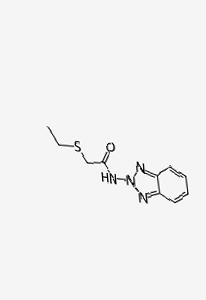 CCSCC(=O)Nn1nc2ccccc2n1